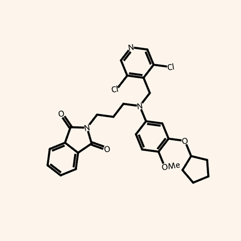 COc1ccc(N(CCCN2C(=O)c3ccccc3C2=O)Cc2c(Cl)cncc2Cl)cc1OC1CCCC1